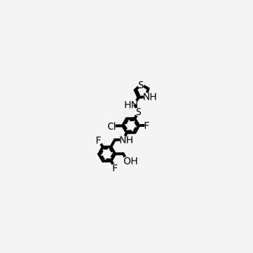 OCc1c(F)ccc(F)c1CNc1cc(F)c(SNC2=CSCN2)cc1Cl